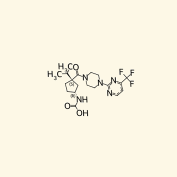 CC(C)[C@]1(C(=O)N2CCN(c3nccc(C(F)(F)F)n3)CC2)CC[C@@H](NC(=O)O)C1